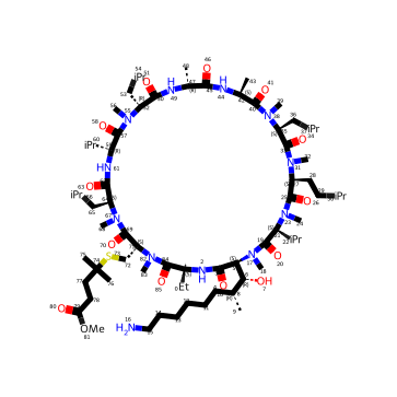 CC[C@@H]1NC(=O)[C@H]([C@H](O)[C@H](C)CCCCCCN)N(C)C(=O)[C@H](C(C)C)N(C)C(=O)[C@H](CCC(C)C)N(C)C(=O)[C@H](CC(C)C)N(C)C(=O)[C@H](C)NC(=O)[C@@H](C)NC(=O)[C@@H](CC(C)C)N(C)C(=O)[C@@H](C(C)C)NC(=O)[C@H](CC(C)C)N(C)C(=O)[C@@H](CSC(C)(C)CCC(=O)OC)N(C)C1=O